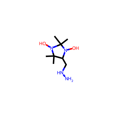 CC1(C)C(CNN)N(O)C(C)(C)N1O